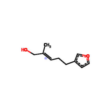 C/C(=C\CCc1ccoc1)CO